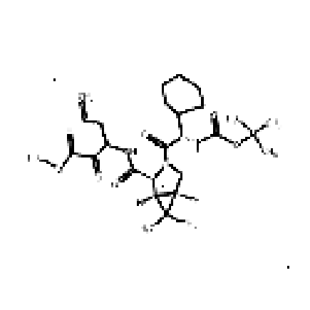 C=CCC(NC(=O)[C@@H]1[C@@H]2[C@H](CN1C(=O)[C@@H](NC(=O)OC(C)(C)C)C1CCCCC1)C2(C)C)C(=O)C(=O)OC